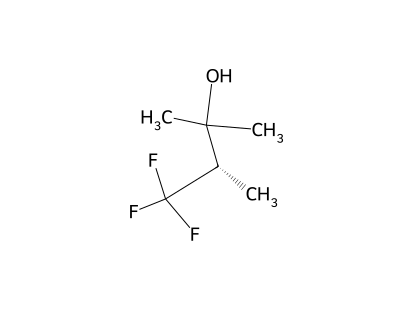 C[C@@H](C(C)(C)O)C(F)(F)F